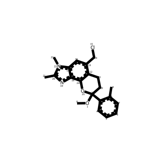 COC1(c2ccccc2C)CCc2c(CCl)cc3c(nc(C)n3C)c2O1